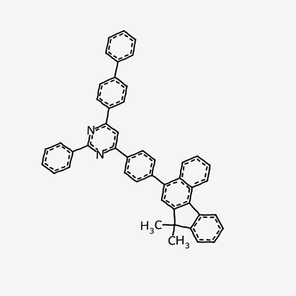 CC1(C)c2ccccc2-c2c1cc(-c1ccc(-c3cc(-c4ccc(-c5ccccc5)cc4)nc(-c4ccccc4)n3)cc1)c1ccccc21